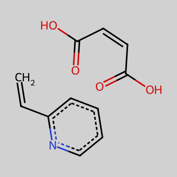 C=Cc1ccccn1.O=C(O)/C=C\C(=O)O